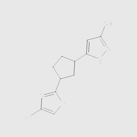 CC(C)(C)c1coc(C2CCC(c3cc(N)n[nH]3)C2)n1